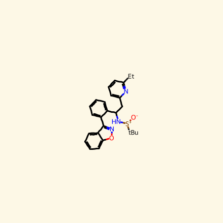 CCc1cccc(CC(N[S+]([O-])C(C)(C)C)c2ccccc2-c2noc3ccccc23)n1